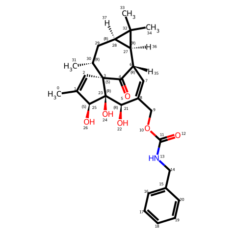 CC1=C[C@]23C(=O)[C@@H](C=C(COC(=O)NCc4ccccc4)[C@@H](O)[C@]2(O)[C@H]1O)[C@H]1[C@@H](C[C@H]3C)C1(C)C